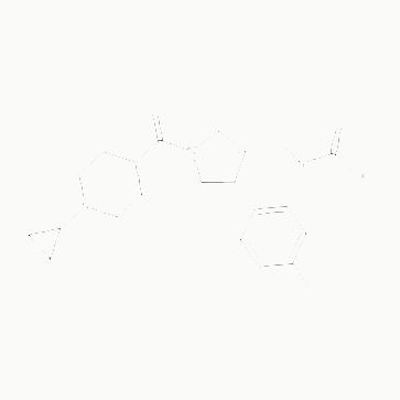 O=C(O)NC[C@H]1CN(C(=O)C2CCN(C3CC3)CC2)C[C@H]1c1ccc(Cl)cc1